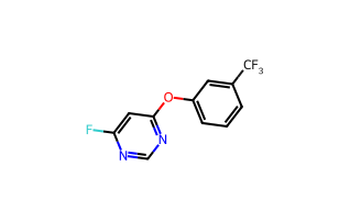 Fc1cc(Oc2cccc(C(F)(F)F)c2)ncn1